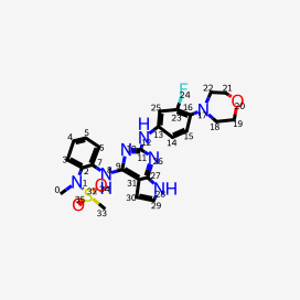 CN(c1ccccc1Nc1nc(Nc2ccc(N3CCOCC3)c(F)c2)nc2[nH]ccc12)S(C)(=O)=O